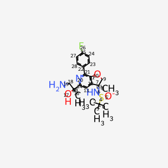 CC(C)(C)[S+]([O-])N[C@]1(C)COc2c1cc([C@](C)(O)CN)nc2-c1ccc(F)cc1